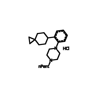 CCCCCN1CCN(c2ccccc2C2CCC3(CC2)CC3)CC1.Cl